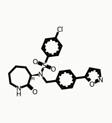 O=C1NCCCC[C@H]1N(Cc1ccc(-c2ccno2)cc1)S(=O)(=O)c1ccc(Cl)cc1